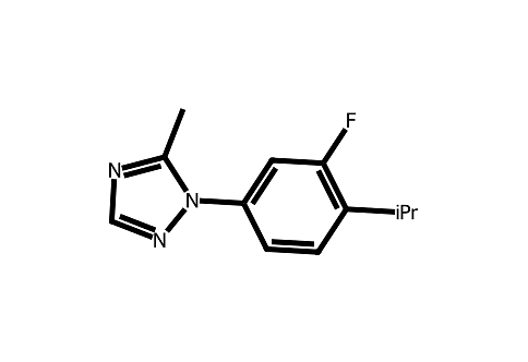 Cc1ncnn1-c1ccc(C(C)C)c(F)c1